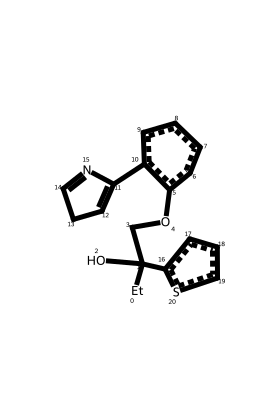 CCC(O)(COc1ccccc1C1=CCC=N1)c1cccs1